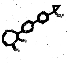 C=C1/C=C\C=N/S/C(c2ccc(-c3ccc(C4(C(=O)O)CC4)cc3)cc2)=C\1N